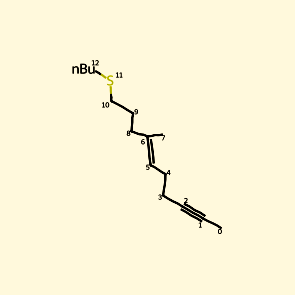 CC#CCC/C=C(\C)CCCSCCCC